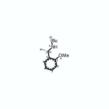 COc1ccccc1[C@H](C)NC(C)(C)C